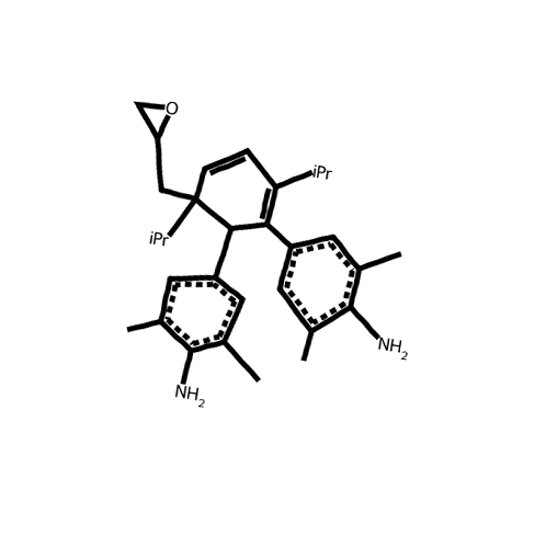 Cc1cc(C2=C(C(C)C)C=CC(CC3CO3)(C(C)C)C2c2cc(C)c(N)c(C)c2)cc(C)c1N